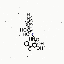 Nc1ncnc2c1ncn2[C@@H]1O[C@H](/C=C/CNC(=O)c2cc(C(=O)C3CCCCC3)cc(O)c2O)[C@H](O)C1O